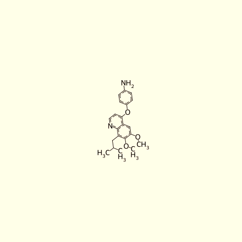 COc1cc2c(Oc3ccc(N)cc3)ccnc2c(CC(C)C)c1OC